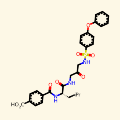 CC(C)C[C@H](NC(=O)c1ccc(C(=O)O)cc1)C(=O)NCC(=O)CNS(=O)(=O)c1ccc(Oc2ccccc2)cc1